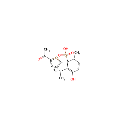 CC(=O)c1ccc(C2(S(=O)(=O)O)C(C(C)C)=C(O)C=CC2C)s1